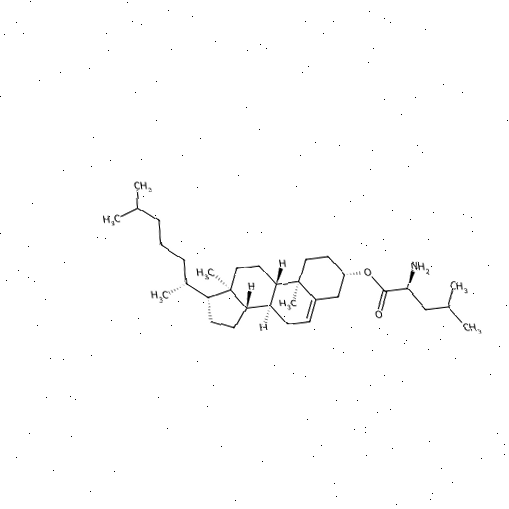 CC(C)CCC[C@@H](C)[C@H]1CC[C@H]2[C@@H]3CC=C4C[C@@H](OC(=O)[C@@H](N)CC(C)C)CC[C@]4(C)[C@H]3CC[C@]12C